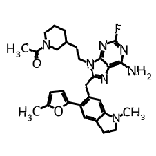 CC(=O)N1CCCC(CCn2c(Cc3cc4c(cc3-c3ccc(C)o3)CCN4C)nc3c(N)nc(F)nc32)C1